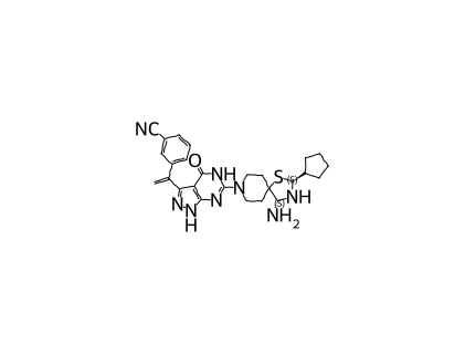 C=C(c1cccc(C#N)c1)c1n[nH]c2nc(N3CCC4(CC3)S[C@@H](C3CCCC3)N[C@@H]4N)[nH]c(=O)c12